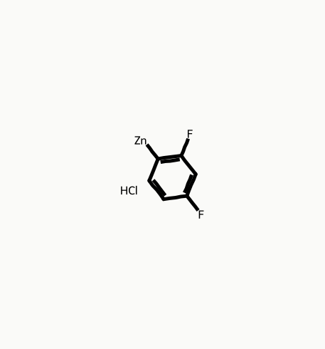 Cl.Fc1cc[c]([Zn])c(F)c1